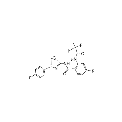 CC(F)(F)C(=O)Nc1cc(F)ccc1C(=O)Nc1nc(-c2ccc(F)cc2)cs1